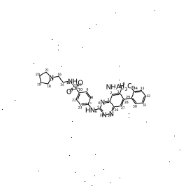 CC(=O)Nc1cc2nc(Nc3ccc(S(=O)(=O)NCCN4CCCC4)cc3)nnc2cc1-c1ccccc1C